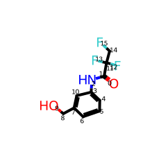 O=C(Nc1cccc(CO)c1)C(F)(F)CF